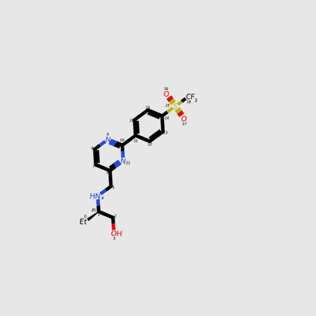 CC[C@H](CO)NCc1ccnc(-c2ccc(S(=O)(=O)C(F)(F)F)cc2)n1